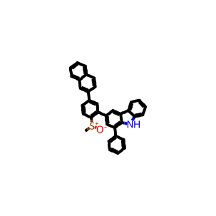 C[S+]([O-])c1ccc(-c2ccc3ccccc3c2)cc1-c1cc(-c2ccccc2)c2[nH]c3ccccc3c2c1